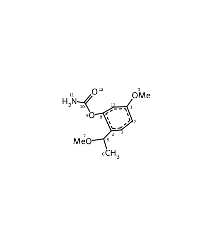 COc1ccc(C(C)OC)c(OC(N)=O)c1